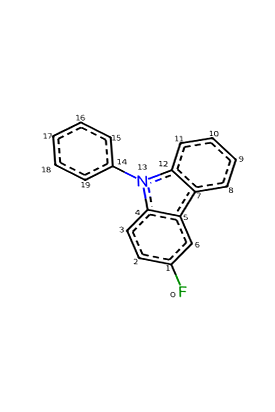 Fc1ccc2c(c1)c1ccccc1n2-c1ccccc1